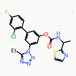 CCc1nnnn1-c1cc(OC(=O)NC(C)c2nccs2)cc(-c2ccc(F)cc2Cl)c1